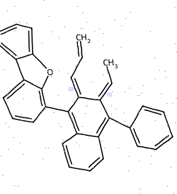 C=C/C=c1/c(-c2cccc3c2oc2ccccc23)c2ccccc2c(-c2ccccc2)/c1=C/C